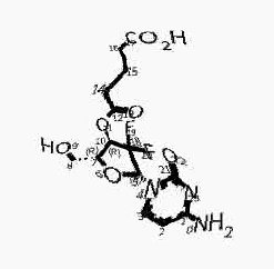 Nc1ccn([C@@H]2O[C@H](CO)[C@@H](OC(=O)CCCC(=O)O)C2(F)F)c(=O)n1